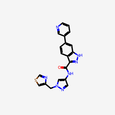 O=C(Nc1cnn(Cc2cscn2)c1)c1n[nH]c2cc(-c3cccnc3)ccc12